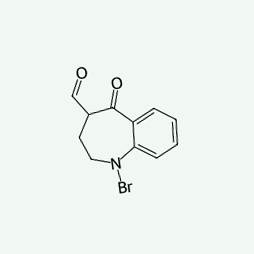 O=CC1CCN(Br)c2ccccc2C1=O